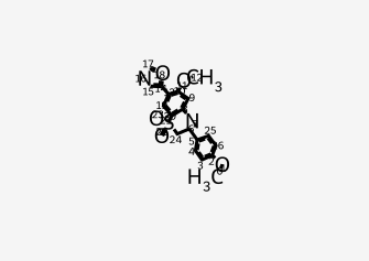 COc1ccc(C2=Nc3cc(OC)c(-c4cnco4)cc3S(=O)(=O)C2)cc1